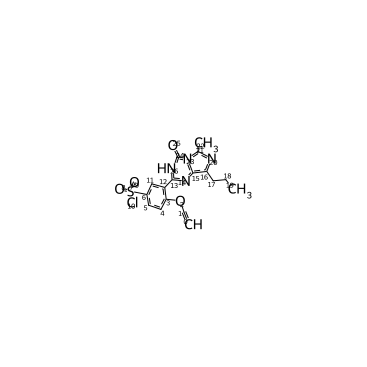 C#COc1ccc(S(=O)(=O)Cl)cc1-c1nc2c(CCC)nc(C)n2c(=O)[nH]1